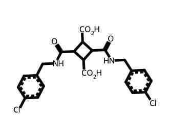 O=C(O)C1C(C(=O)NCc2ccc(Cl)cc2)C(C(=O)O)C1C(=O)NCc1ccc(Cl)cc1